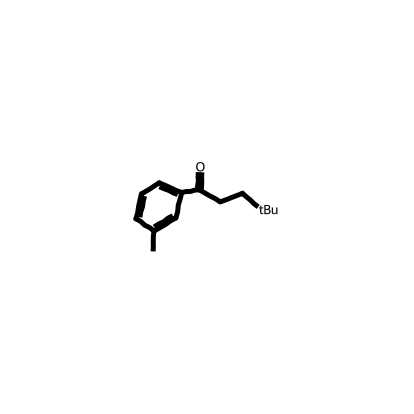 Cc1cccc(C(=O)CCC(C)(C)C)c1